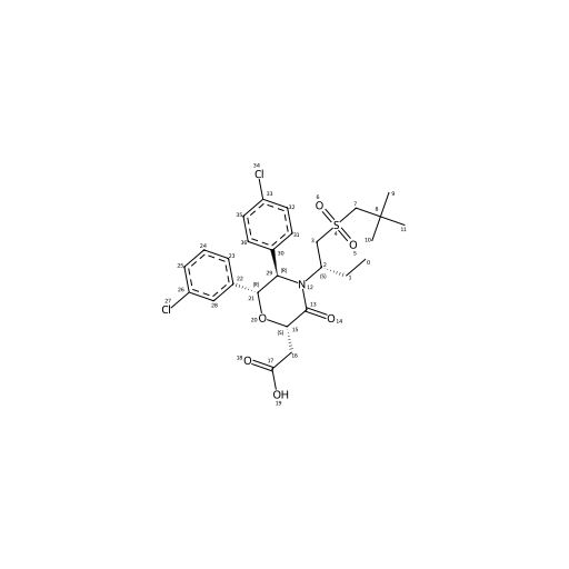 CC[C@@H](CS(=O)(=O)CC(C)(C)C)N1C(=O)[C@H](CC(=O)O)O[C@H](c2cccc(Cl)c2)[C@H]1c1ccc(Cl)cc1